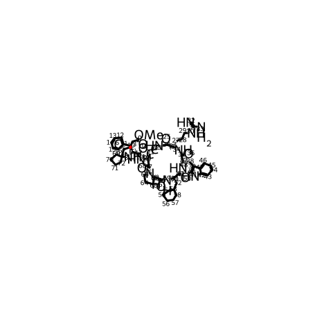 COC(=O)CCC(=O)C1(N[C@@H](Cc2ccccc2)C(=O)N[C@H]2CCNC(=O)[C@H](CCCNC(=N)N)NC(=O)[C@H](Cc3c[nH]c4ccccc34)NC(=O)[C@@H](CC3CCCCC3)NC(=O)[C@@H]3CCCN3C2=O)CCCC1